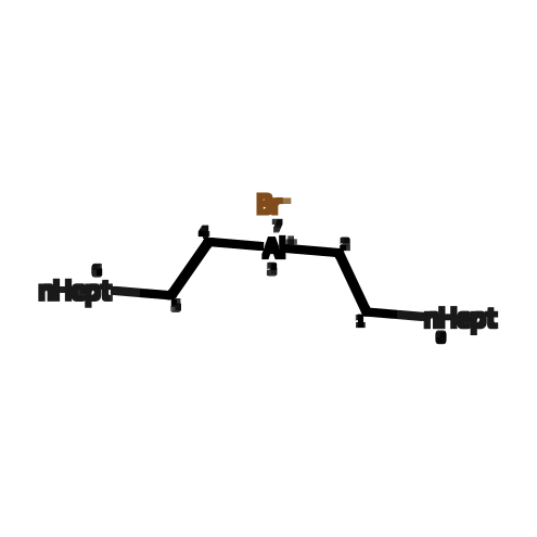 CCCCCCCC[CH2][Al+][CH2]CCCCCCCC.[Br-]